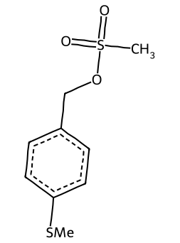 CSc1ccc(COS(C)(=O)=O)cc1